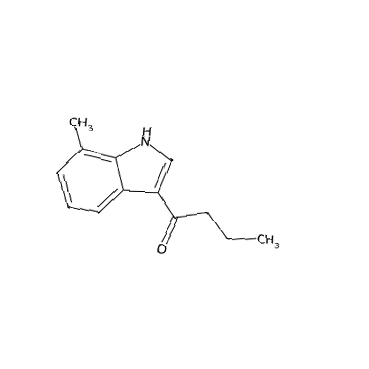 CCCC(=O)c1c[nH]c2c(C)cccc12